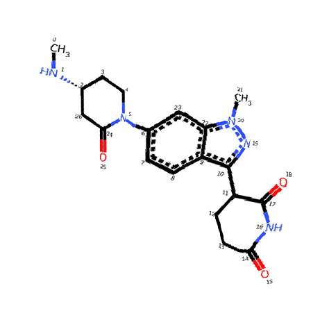 CN[C@@H]1CCN(c2ccc3c(C4CCC(=O)NC4=O)nn(C)c3c2)C(=O)C1